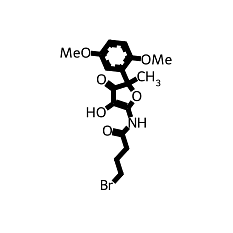 COc1ccc(OC)c(C2(C)OC(NC(=O)CCCBr)=C(O)C2=O)c1